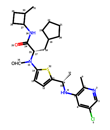 Cc1ncc(Cl)cc1N[C@@H](C)c1ccc(N(C=O)[C@@H](CC2CCCC2)C(=O)NC2CCC2C)s1